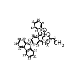 C=CC(=O)OC(C)(Oc1ccccc1)Oc1ccccc1.c1ccc2c(c1)Cc1ccccc1-2